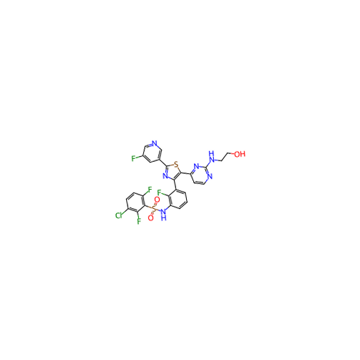 O=S(=O)(Nc1cccc(-c2nc(-c3cncc(F)c3)sc2-c2ccnc(NCCO)n2)c1F)c1c(F)ccc(Cl)c1F